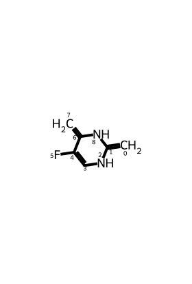 C=C1NC=C(F)C(=C)N1